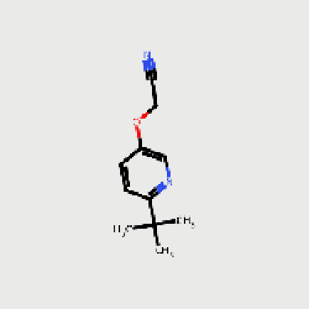 CC(C)(C)c1ccc(OCC#N)cn1